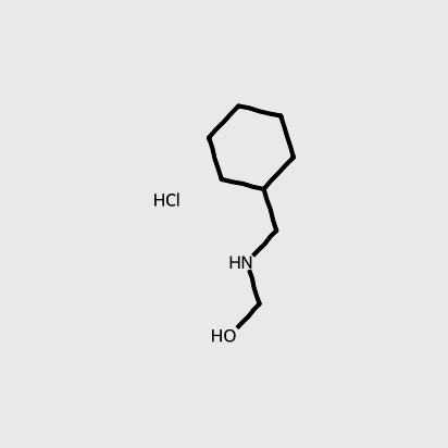 Cl.OCNCC1CCCCC1